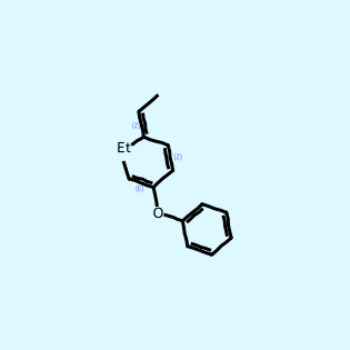 C\C=C(/C=C\C(=C/C)Oc1ccccc1)CC